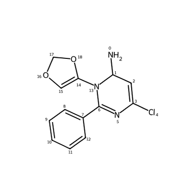 NC1C=C(Cl)N=C(c2ccccc2)N1C1=COCO1